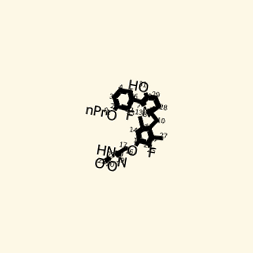 CCCOc1cccc(-c2nc(Cc3c(C)cc(OCc4noc(=O)[nH]4)c(F)c3C)ccc2O)c1F